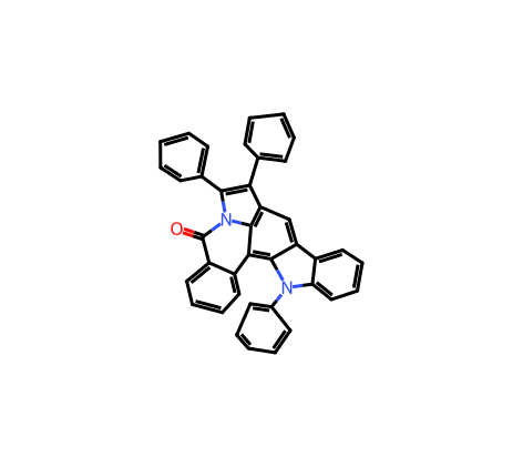 O=c1c2ccccc2c2c3c(cc4c(-c5ccccc5)c(-c5ccccc5)n1c42)c1ccccc1n3-c1ccccc1